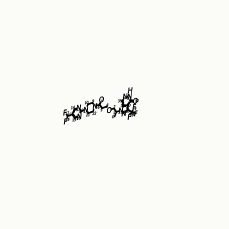 CC(COCCC(=O)N1CCN(c2ncc(C(F)F)cn2)CC1)n1nc(C(F)(F)F)c2c(=O)[nH]ncc21